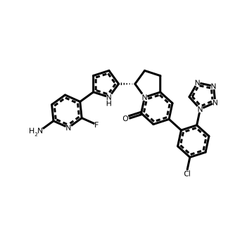 Nc1ccc(-c2ccc([C@@H]3CCc4cc(-c5cc(Cl)ccc5-n5cnnn5)cc(=O)n43)[nH]2)c(F)n1